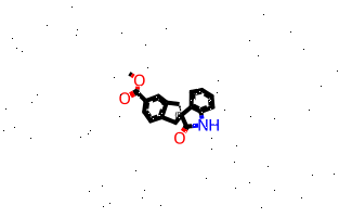 COC(=O)c1ccc2c(c1)C[C@@]1(C2)C(=O)Nc2ccccc21